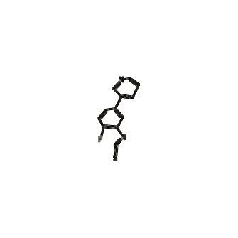 Fc1ccc(-c2cccnc2)cc1N=C=S